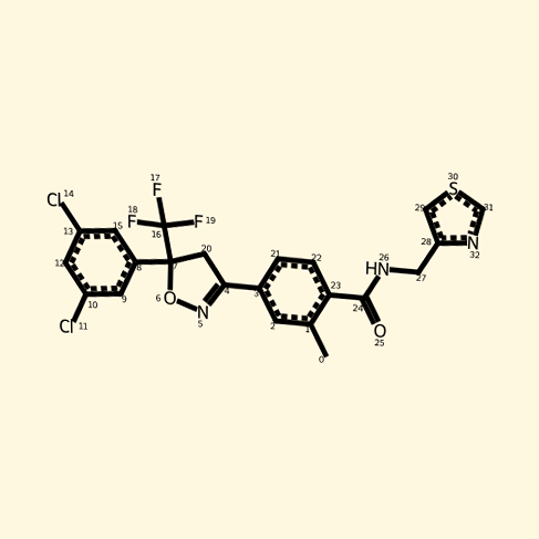 Cc1cc(C2=NOC(c3cc(Cl)cc(Cl)c3)(C(F)(F)F)C2)ccc1C(=O)NCc1cscn1